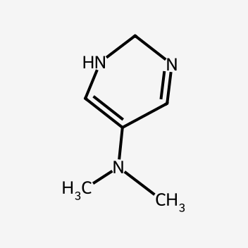 CN(C)C1=CNCN=C1